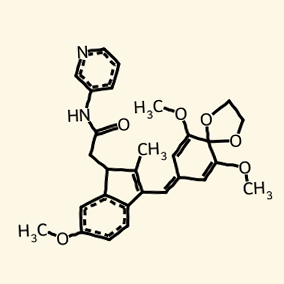 COC1=CC(=CC2=C(C)C(CC(=O)Nc3cccnc3)c3cc(OC)ccc32)C=C(OC)C12OCCO2